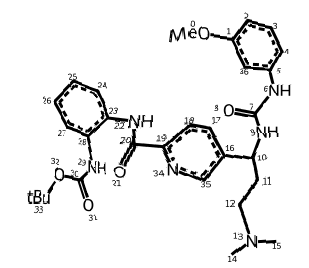 COc1cccc(NC(=O)NC(CCN(C)C)c2ccc(C(=O)Nc3ccccc3NC(=O)OC(C)(C)C)nc2)c1